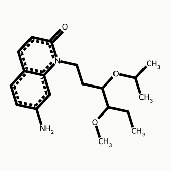 CCC(OC)C(CCn1c(=O)ccc2ccc(N)cc21)OC(C)C